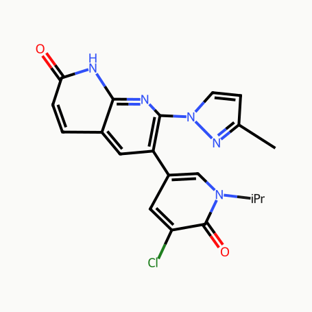 Cc1ccn(-c2nc3[nH]c(=O)ccc3cc2-c2cc(Cl)c(=O)n(C(C)C)c2)n1